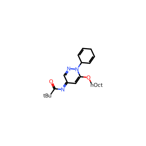 CCCCCCCCOc1cc(=NC(=O)C(C)(C)C)cnn1C1C=CCC=C1